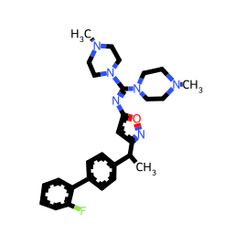 CC(c1ccc(-c2ccccc2F)cc1)c1cc(N=C(N2CCN(C)CC2)N2CCN(C)CC2)on1